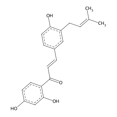 CC(C)=CCc1cc(/C=C/C(=O)c2ccc(O)cc2O)ccc1O